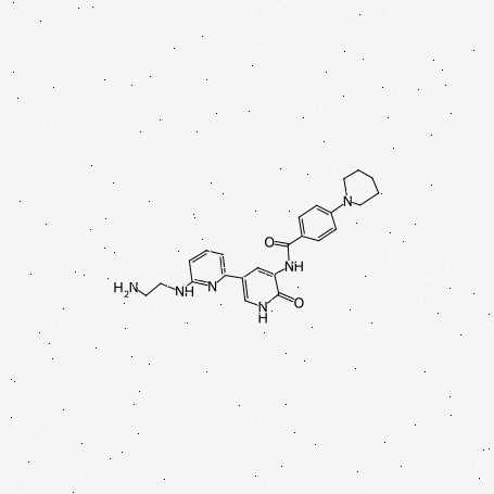 NCCNc1cccc(-c2c[nH]c(=O)c(NC(=O)c3ccc(N4CCCCC4)cc3)c2)n1